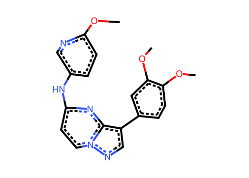 COc1ccc(Nc2ccn3ncc(-c4ccc(OC)c(OC)c4)c3n2)cn1